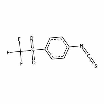 O=S(=O)(c1ccc(N=C=S)cc1)C(F)(F)F